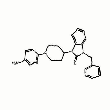 Nc1ccc(N2CCC(n3c(=O)n(Cc4ccccc4)c4ccccc43)CC2)nc1